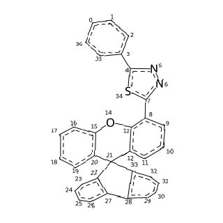 c1ccc(-c2nnc(-c3cccc4c3Oc3ccccc3C43c4ccccc4-c4ccccc43)s2)cc1